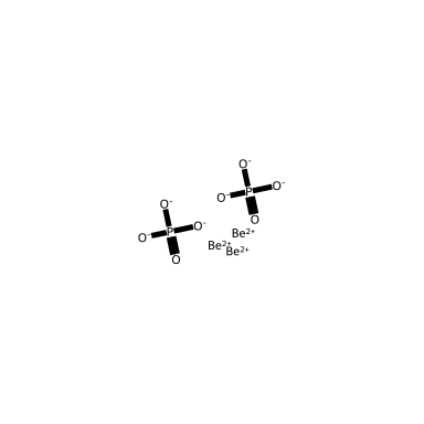 O=P([O-])([O-])[O-].O=P([O-])([O-])[O-].[Be+2].[Be+2].[Be+2]